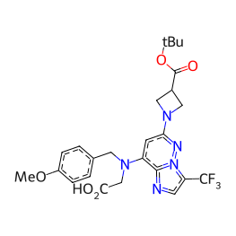 COc1ccc(CN(CC(=O)O)c2cc(N3CC(C(=O)OC(C)(C)C)C3)nn3c(C(F)(F)F)cnc23)cc1